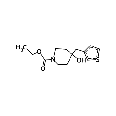 CCOC(=O)N1CCC(O)(Cc2ccsc2)CC1